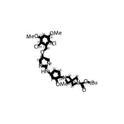 COc1cc(Nc2ncc(OCc3c(Cl)c(OC)cc(OC)c3Cl)cn2)ccc1N1CC2(CN(C(=O)OC(C)(C)C)C2)C1